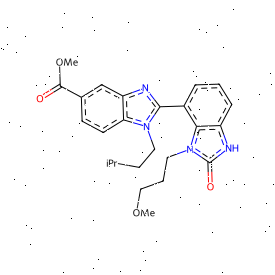 COCCCn1c(=O)[nH]c2cccc(-c3nc4cc(C(=O)OC)ccc4n3CCC(C)C)c21